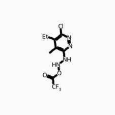 CCc1c(Cl)nnc(NNOC(=O)C(F)(F)F)c1C